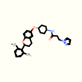 Cc1cccc(C)c1C1CCc2cc(O[C@H]3CC[C@H](NC(=O)CCn4cccn4)CC3)ccc2O1